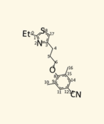 CCc1nc(CCCOc2c(C)cc(C#N)cc2C)cs1